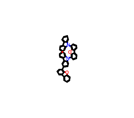 c1ccc2c(c1)oc1c(-c3ccc4c(c3)c3ccccc3n4-c3cccc4c3oc3c(-n5c6ccccc6c6ccccc65)cccc34)cccc12